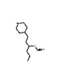 CCCC(CCC1CCNCC1)O[C]=O